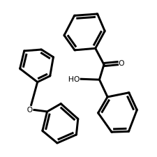 O=C(c1ccccc1)C(O)c1ccccc1.c1ccc(Oc2ccccc2)cc1